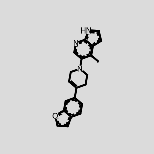 Cc1c(N2CC=C(c3ccc4ccoc4c3)CC2)cnc2[nH]ccc12